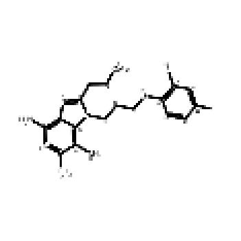 COCCc1nc2c(N)nc(C)c(C)c2n1CCCSc1ccc(F)cc1F